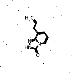 C=CCc1cccn2c(=O)[nH]nc12